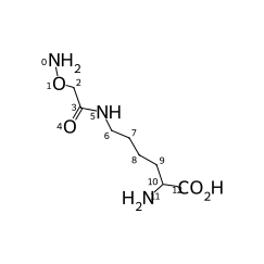 NOCC(=O)NCCCCC(N)C(=O)O